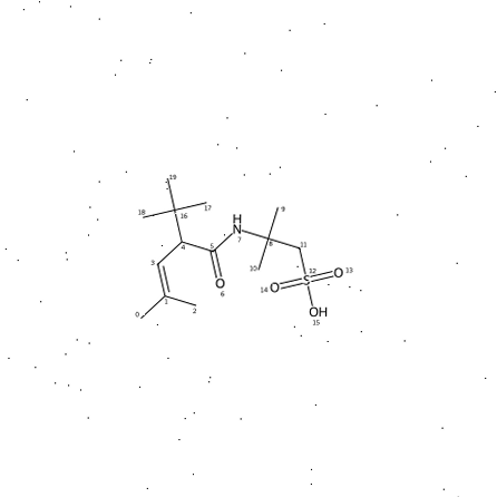 CC(C)=CC(C(=O)NC(C)(C)CS(=O)(=O)O)C(C)(C)C